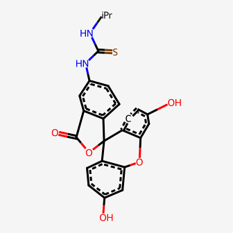 CC(C)NC(=S)Nc1ccc2c(c1)C(=O)OC21c2ccc(O)cc2Oc2cc(O)ccc21